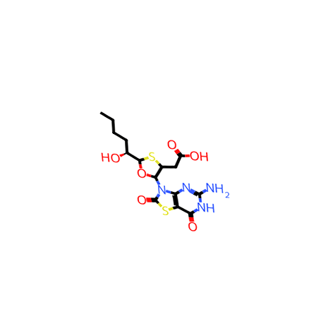 CCCC[C@H](O)C1OC(n2c(=O)sc3c(=O)[nH]c(N)nc32)C(CC(=O)O)S1